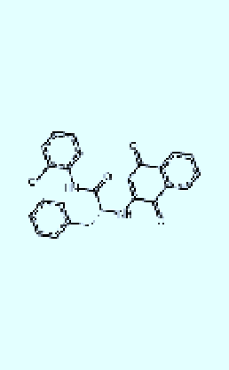 O=C1C=C(N[C@H](Cc2ccccc2)C(=O)Nc2ccccc2Cl)C(=O)c2ccccc21